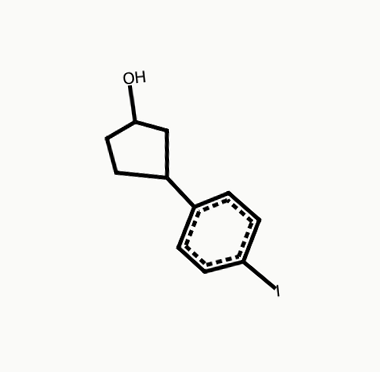 OC1CCC(c2ccc(I)cc2)C1